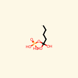 [CH2]CCCC(O)(O)OP(=O)(O)O